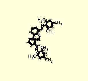 Cc1cc(C)c(/N=C/c2cccc3c2nnc2c(/C=N/c4c(C)cc(C)cc4C)cccc23)c(C)c1